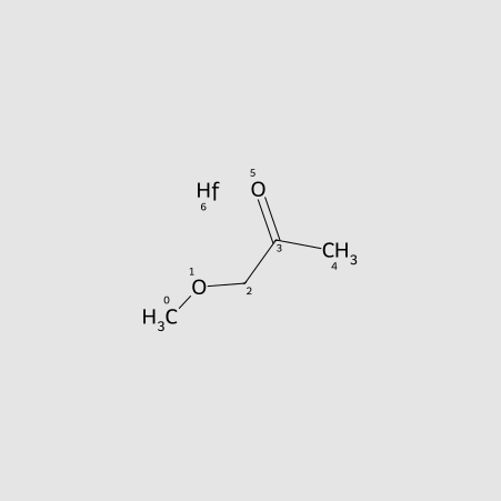 COCC(C)=O.[Hf]